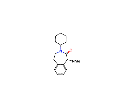 CNC1C(=O)N(C2CCCCC2)CCc2ccccc21